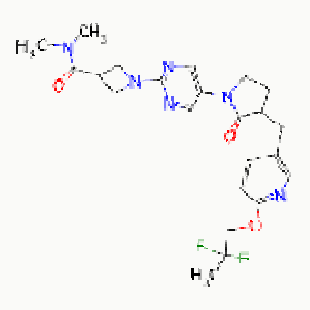 CN(C)C(=O)C1CN(c2ncc(N3CCC(Cc4ccc(OCC(C)(F)F)nc4)C3=O)cn2)C1